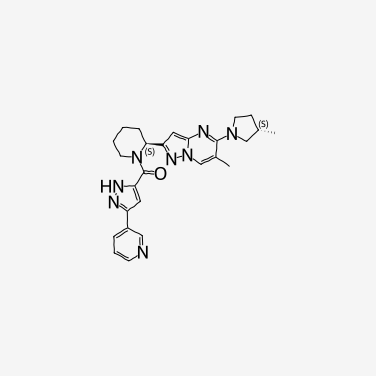 Cc1cn2nc([C@@H]3CCCCN3C(=O)c3cc(-c4cccnc4)n[nH]3)cc2nc1N1CC[C@H](C)C1